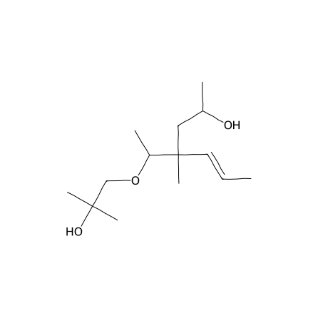 CC=CC(C)(CC(C)O)C(C)OCC(C)(C)O